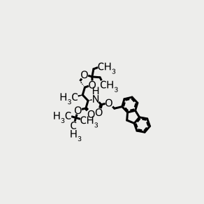 CCC1(CC)OC[C@@H]([C@H](C)[C@H](NC(=O)OCc2cccc3c2Cc2ccccc2-3)C(=O)OC(C)(C)C)O1